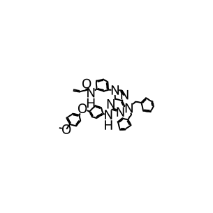 C=CC(=O)Nc1cccc(-n2cnc3c(N(Cc4ccccc4)Cc4ccccc4)nc(Nc4ccc(Oc5ccc(OC)cc5)cc4)nc32)c1